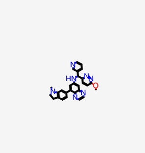 COc1ccc(C(Nc2cc(-c3ccc4c(c3)N(C)CC4)c3nccnc3c2)c2cccnc2)nn1